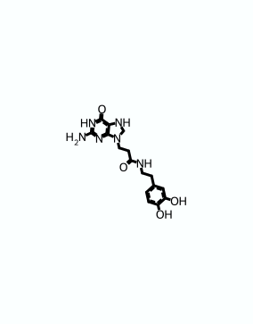 Nc1nc2c(c(=O)[nH]1)NCN2CCC(=O)NCCc1ccc(O)c(O)c1